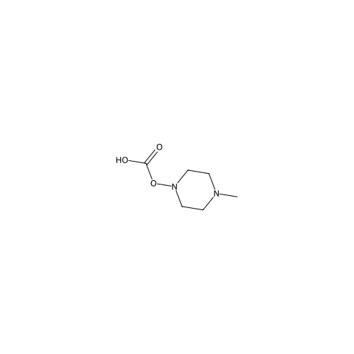 CN1CCN(OC(=O)O)CC1